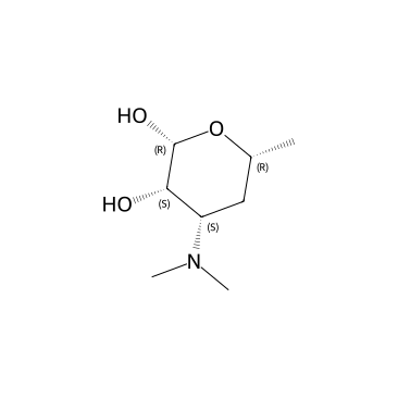 C[C@@H]1C[C@H](N(C)C)[C@H](O)[C@H](O)O1